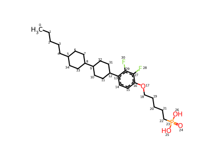 CCCCCC1CCC(C2CCC(c3ccc(OCCCCCP(=O)(O)O)c(F)c3F)CC2)CC1